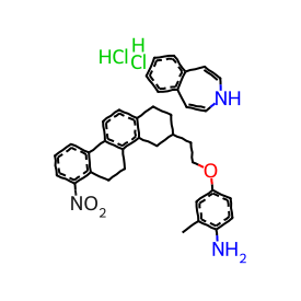 C1=Cc2ccccc2C=CN1.Cc1cc(OCCC2CCc3ccc4c(c3C2)CCc2c-4cccc2[N+](=O)[O-])ccc1N.Cl.Cl